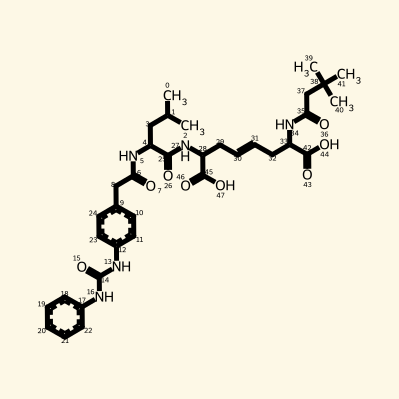 CC(C)CC(NC(=O)Cc1ccc(NC(=O)Nc2ccccc2)cc1)C(=O)NC(C/C=C/CC(NC(=O)CC(C)(C)C)C(=O)O)C(=O)O